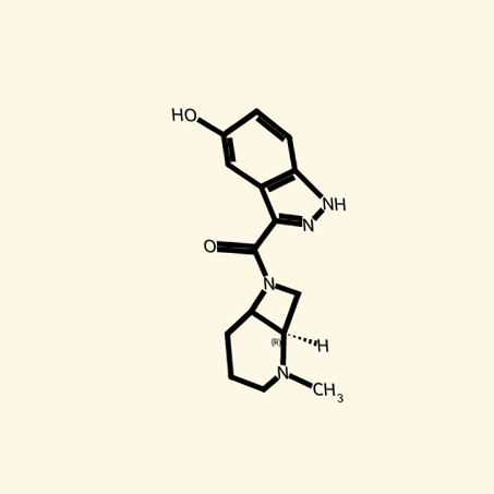 CN1CCCC2[C@H]1CN2C(=O)c1n[nH]c2ccc(O)cc12